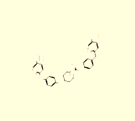 Cc1ccc(Cc2ccc(OC(=O)N3CCC(Oc4ccc(Oc5ccc(C)cn5)cc4)CC3)cc2)nc1